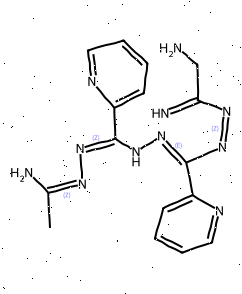 C/C(N)=N/N=C(\N/N=C(/N=N\C(=N)CN)c1ccccn1)c1ccccn1